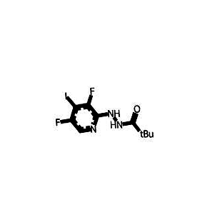 CC(C)(C)C(=O)NNc1ncc(F)c(I)c1F